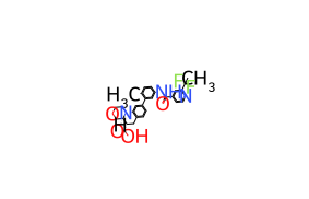 Cc1ccc(NC(=O)c2ccnc(C(C)(F)F)c2)cc1-c1ccc2c(c1)N1CCOC[C@@H]1[C@@H](C(=O)O)C2